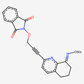 CO/N=C1\CCCc2ccc(C#CCON3C(=O)c4ccccc4C3=O)nc21